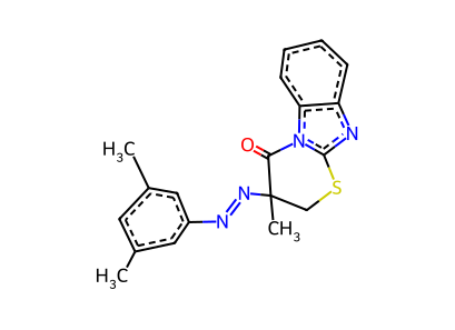 Cc1cc(C)cc(N=NC2(C)CSc3nc4ccccc4n3C2=O)c1